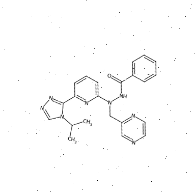 CC(C)n1cnnc1-c1cccc(N(Cc2cnccn2)NC(=O)c2ccccc2)n1